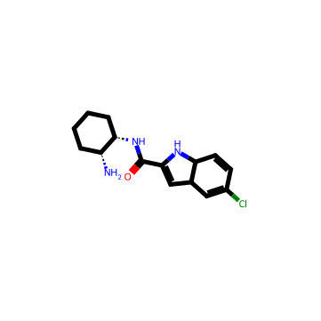 N[C@@H]1CCCC[C@@H]1NC(=O)C1=CC2C=C(Cl)C=CC2N1